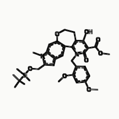 COC(=O)c1c(O)c2c(n(Cc3ccc(OC)cc3OC)c1=O)-c1cc3cc(CO[Si](C)(C)C(C)(C)C)n(C)c3cc1OCC2